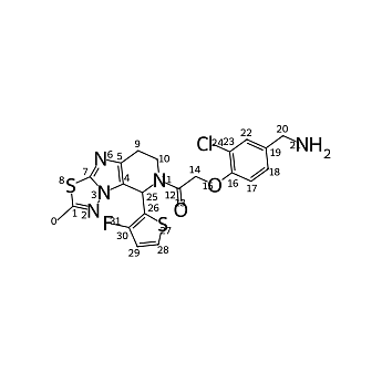 Cc1nn2c3c(nc2s1)CCN(C(=O)COc1ccc(CN)cc1Cl)C3c1sccc1F